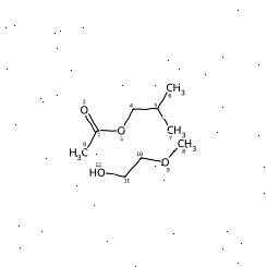 CC(=O)OCC(C)C.COCCO